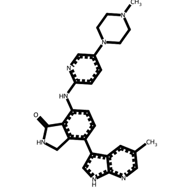 Cc1cnc2[nH]cc(-c3ccc(Nc4ccc(N5CCN(C)CC5)cn4)c4c3CNC4=O)c2c1